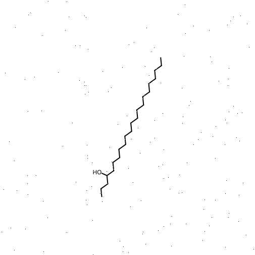 [CH2]CCC(O)CCCCCCCCCCCCCCCCCC